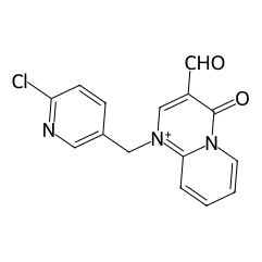 O=Cc1c[n+](Cc2ccc(Cl)nc2)c2ccccn2c1=O